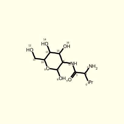 CC(C)C(N)C(=O)NC1C(O)OC(CO)C(O)C1O